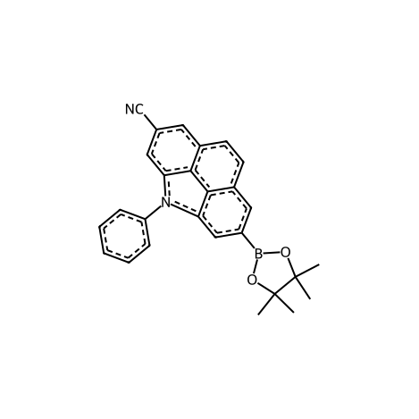 CC1(C)OB(c2cc3ccc4cc(C#N)cc5c4c3c(c2)n5-c2ccccc2)OC1(C)C